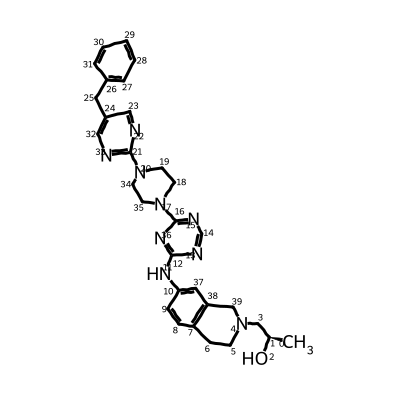 C[C@@H](O)CN1CCc2ccc(Nc3ncnc(N4CCN(c5ncc(Cc6ccccc6)cn5)CC4)n3)cc2C1